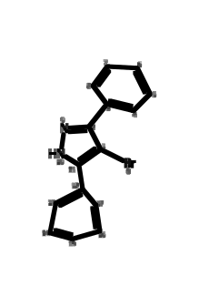 Brc1c(-c2ccccc2)n[nH]c1-c1ccccc1